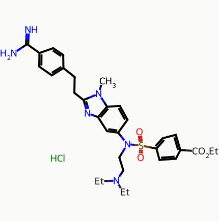 CCOC(=O)c1ccc(S(=O)(=O)N(CCN(CC)CC)c2ccc3c(c2)nc(CCc2ccc(C(=N)N)cc2)n3C)cc1.Cl